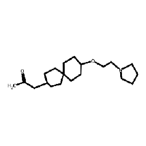 CC(=O)CC1CCC2(CC1)CCC(OCCN1CCCC1)CC2